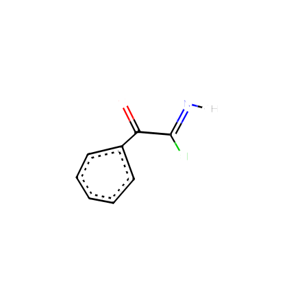 C/N=C(\Cl)C(=O)c1ccccc1